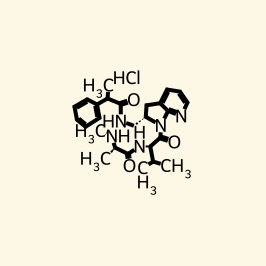 CN[C@@H](C)C(=O)N[C@H](C(=O)N1c2ncccc2C[C@H]1CNC(=O)C(C)c1ccccc1)C(C)C.Cl